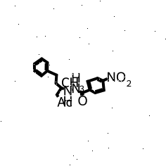 CC(=O)CC(C)(CCc1ccccc1)NNC(=O)c1ccc([N+](=O)[O-])cc1